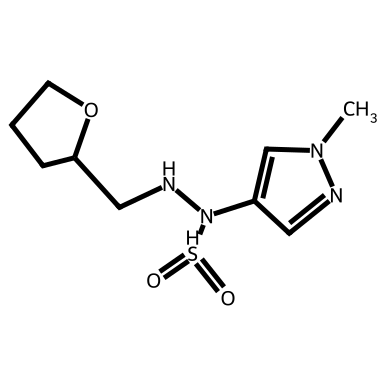 Cn1cc(N(NCC2CCCO2)[SH](=O)=O)cn1